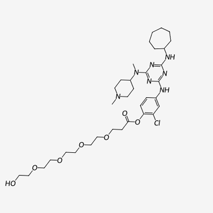 CN1CCC(N(C)c2nc(Nc3ccc(OC(=O)CCOCCOCCOCCOCCO)c(Cl)c3)nc(NC3CCCCCC3)n2)CC1